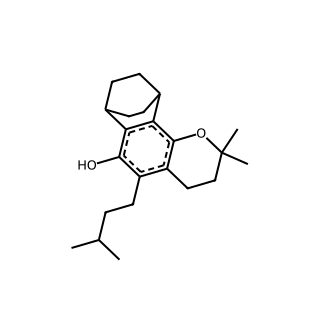 CC(C)CCc1c(O)c2c(c3c1CCC(C)(C)O3)C1CCC2CC1